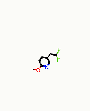 COc1ccc(C=C(F)F)cn1